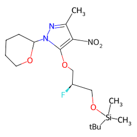 Cc1nn(C2CCCCO2)c(OC[C@H](F)CO[Si](C)(C)C(C)(C)C)c1[N+](=O)[O-]